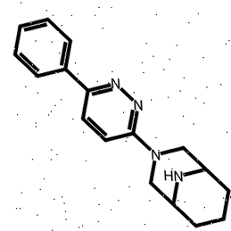 c1ccc(-c2ccc(N3CC4CCCC(C3)N4)nn2)cc1